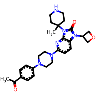 CC(=O)c1ccc(N2CCN(c3ccc4c(n3)n(C3(C)CCNCC3)c(=O)n4C3COC3)CC2)cc1